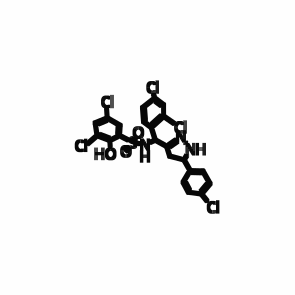 O=S(=O)(NC(C1=NNC(c2ccc(Cl)cc2)C1)c1ccc(Cl)cc1Cl)c1cc(Cl)cc(Cl)c1O